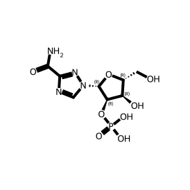 NC(=O)c1ncn([C@@H]2O[C@H](CO)[C@@H](O)[C@H]2OP(=O)(O)O)n1